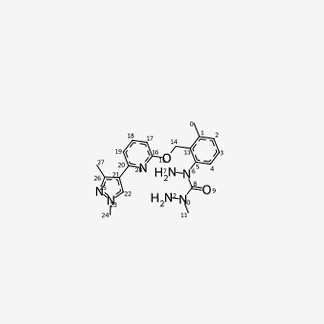 Cc1cccc(N(N)C(=O)N(C)N)c1COc1cccc(-c2cn(C)nc2C)n1